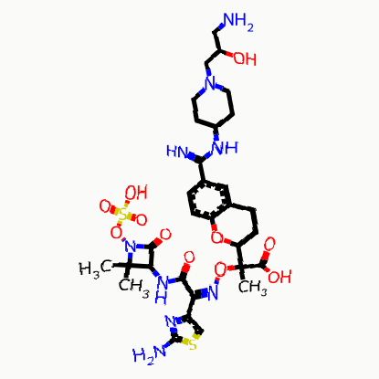 CC(ON=C(C(=O)NC1C(=O)N(OS(=O)(=O)O)C1(C)C)c1csc(N)n1)(C(=O)O)C1CCc2cc(C(=N)NC3CCN(CC(O)CN)CC3)ccc2O1